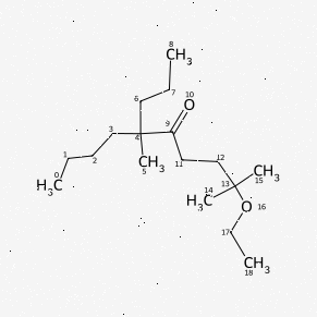 CCCCC(C)(CCC)C(=O)CCC(C)(C)OCC